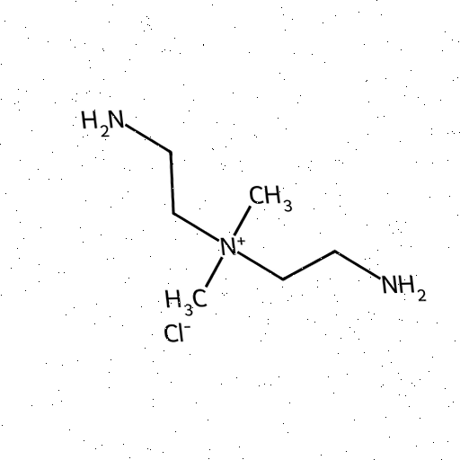 C[N+](C)(CCN)CCN.[Cl-]